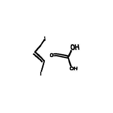 IC=CI.O=C(O)O